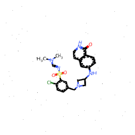 CN(C)/C=N/S(=O)(=O)c1cc(CN2CC(Nc3ccc4c(=O)[nH]ccc4c3)C2)ccc1Cl